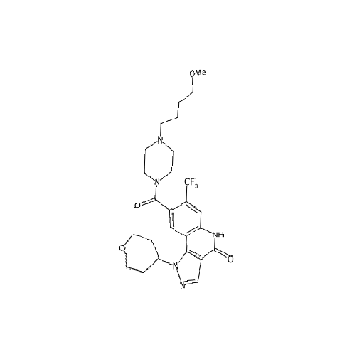 COCCCCN1CCN(C(=O)c2cc3c(cc2C(F)(F)F)[nH]c(=O)c2cnn(C4CCOCC4)c23)CC1